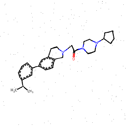 CC(C)c1cccc(-c2ccc3c(c2)CCN(CC(=O)N2CCN(C4CCCC4)CC2)C3)c1